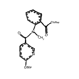 COC(=O)c1ccccc1N(C)C(=O)c1ccc(OC)nc1